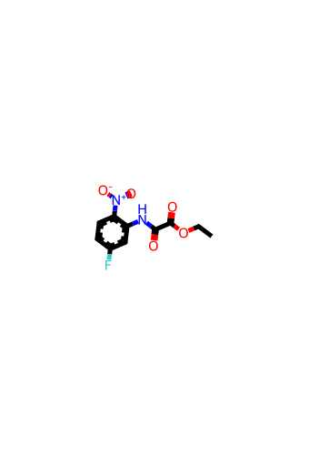 CCOC(=O)C(=O)Nc1cc(F)ccc1[N+](=O)[O-]